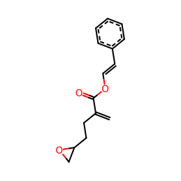 C=C(CCC1CO1)C(=O)OC=Cc1ccccc1